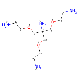 NCCOCC(N)(COCCN)COCCN